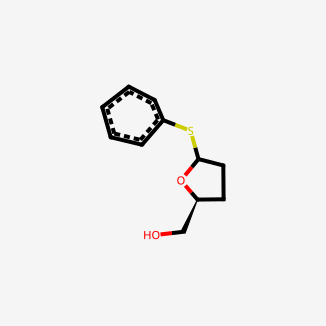 OC[C@@H]1CCC(Sc2ccccc2)O1